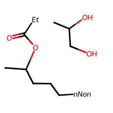 CC(O)CO.CCCCCCCCCCCCC(C)OC(=O)CC